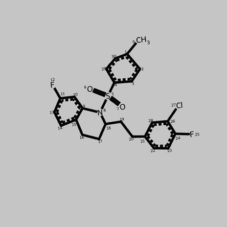 Cc1ccc(S(=O)(=O)N2c3cc(F)ccc3CCC2CCc2ccc(F)c(Cl)c2)cc1